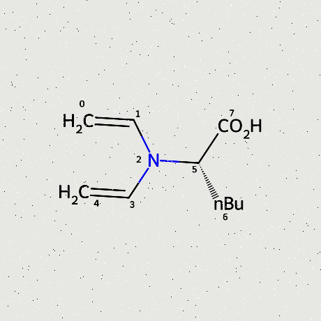 C=CN(C=C)[C@@H](CCCC)C(=O)O